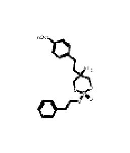 CCCCCCCCc1ccc(CCC2(N)COP(=O)(OCCc3ccccc3)OC2)cc1